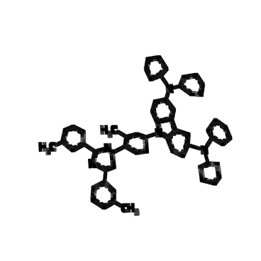 Cc1cccc(-c2cc(-c3ccc(-n4c5ccc(N(c6ccccc6)c6ccccc6)cc5c5cc(N(c6ccccc6)c6ccccc6)ccc54)cc3C)nc(-c3cccc(C)c3)n2)c1